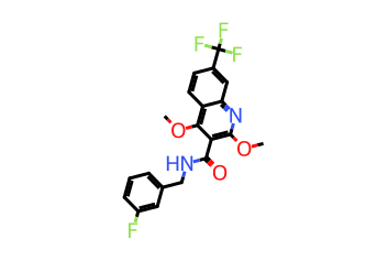 COc1nc2cc(C(F)(F)F)ccc2c(OC)c1C(=O)NCc1cccc(F)c1